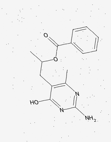 Cc1nc(N)nc(O)c1CC(C)OC(=O)c1ccccc1